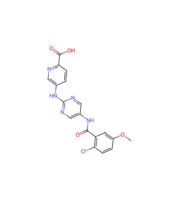 COc1ccc(Cl)c(C(=O)Nc2cnc(Nc3ccc(C(=O)O)nc3)nc2)c1